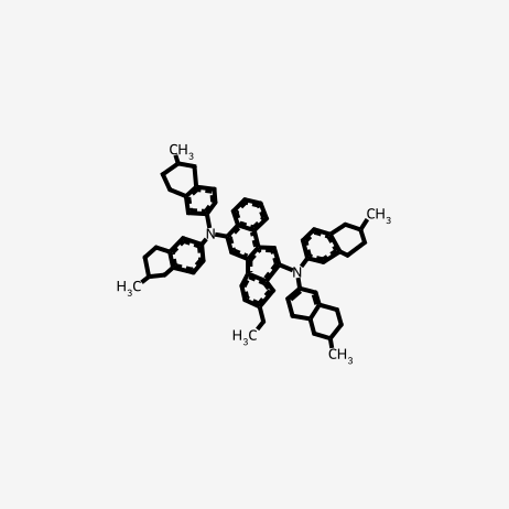 CCc1ccc2c(c1)c(N(C1=CCC3CC(C)CCC3=C1)c1ccc3c(c1)CCC(C)C3)cc1c3ccccc3c(N(c3ccc4c(c3)CCC(C)C4)c3ccc4c(c3)CCC(C)C4)cc21